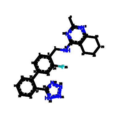 Cc1nc2c(c(NCc3ccc(-c4ccccc4-c4nnn[nH]4)cc3F)n1)CCCC2